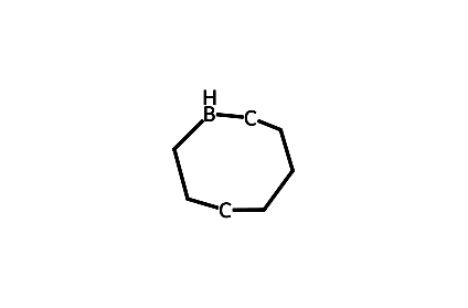 B1CCCCCCC1